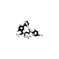 CCN(CCN(C(=O)O)C(c1cc(C2OCCO2)ccc1F)C(F)(F)F)c1ccc(C#N)cn1